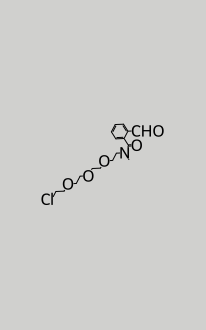 CN(CCOCCOCCOCCCl)C(=O)c1ccccc1C=O